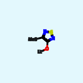 CCOc1nsnc1SC